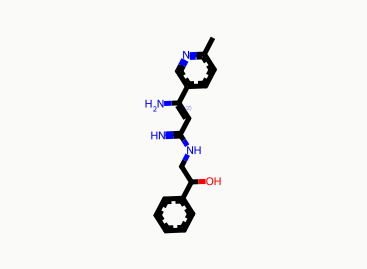 Cc1ccc(/C(N)=C/C(=N)NCC(O)c2ccccc2)cn1